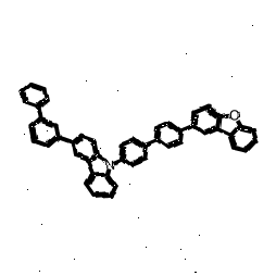 c1ccc(-c2cccc(-c3ccc4c(c3)c3ccccc3n4-c3ccc(-c4ccc(-c5ccc6oc7ccccc7c6c5)cc4)cc3)c2)cc1